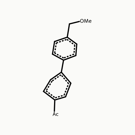 COCc1ccc(-c2ccc(C(C)=O)cc2)cc1